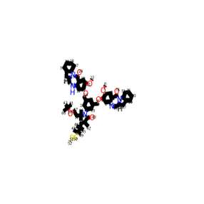 COc1cc2c(cc1OCc1cc(COc3cc4c(cc3OC)C(=O)N3c5ccccc5C[C@H]3CN4)cc(N(C(=O)C(C)CC(C)(C)C(C)(C)SSC)C(C)(C)CCOC(C)(C)C)c1)N=C[C@@H]1Cc3ccccc3N1C2=O